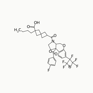 CCCCC1(C(=O)O)CC2(CC(C(=O)N3CCC4(S(=O)(=O)c5ccc(F)cc5)c5ccc(C(F)(C(F)(F)F)C(F)(F)F)cc5OCC34)C2)C1